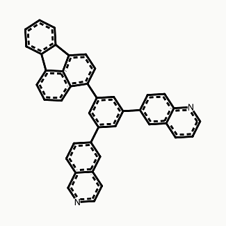 c1ccc2c(c1)-c1cccc3c(-c4cc(-c5ccc6cnccc6c5)cc(-c5ccc6ncccc6c5)c4)ccc-2c13